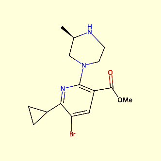 COC(=O)c1cc(Br)c(C2CC2)nc1N1CCN[C@H](C)C1